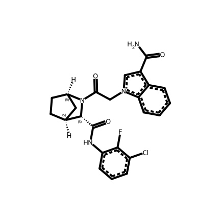 NC(=O)c1cn(CC(=O)N2[C@@H]3CC[C@@H](C3)[C@H]2C(=O)Nc2cccc(Cl)c2F)c2ccccc12